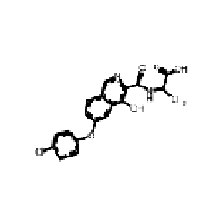 CC(NC(=O)c1ncc2ccc(Oc3ccc(Cl)cc3)cc2c1O)C(=O)O